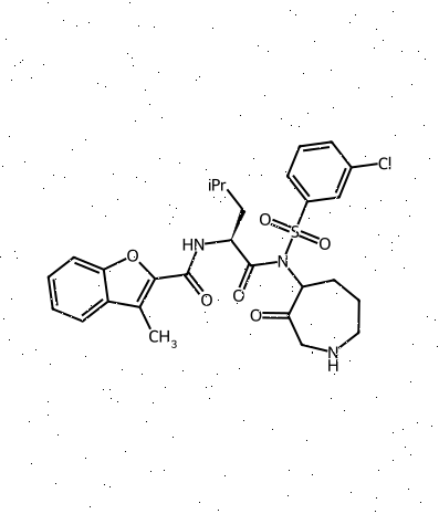 Cc1c(C(=O)N[C@@H](CC(C)C)C(=O)N(C2CCCNCC2=O)S(=O)(=O)c2cccc(Cl)c2)oc2ccccc12